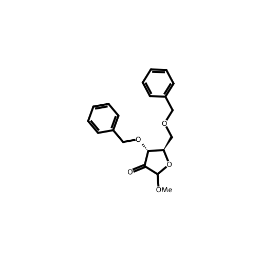 COC1O[C@H](COCc2ccccc2)[C@@H](OCc2ccccc2)C1=O